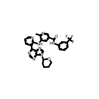 Cc1ncc(C(=O)Nc2cccc(C(F)(F)F)c2)cc1Nc1ncccc1-c1ncnc2c1ncn2C1CCCCO1